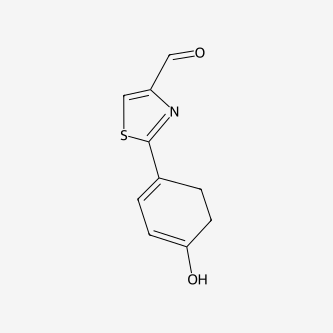 O=Cc1csc(C2=CC=C(O)CC2)n1